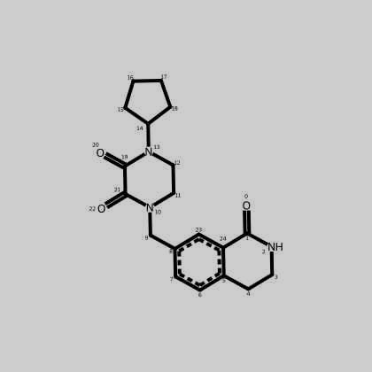 O=C1NCCc2ccc(CN3CCN(C4CCCC4)C(=O)C3=O)cc21